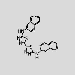 c1ccc2cc(Nc3nnc(-c4nnc(Nc5ccc6ccccc6c5)s4)s3)ccc2c1